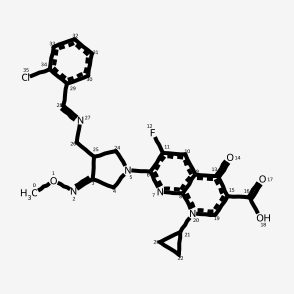 CON=C1CN(c2nc3c(cc2F)c(=O)c(C(=O)O)cn3C2CC2)CC1CN=Cc1ccccc1Cl